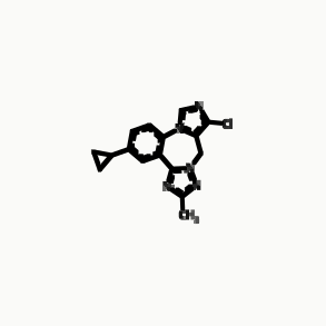 Cc1nc2n(n1)Cc1c(Cl)ncn1-c1ccc(C3CC3)cc1-2